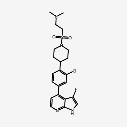 CN(C)CCS(=O)(=O)N1CCC(c2ccc(-c3ccnc4[nH]cc(F)c34)cc2Cl)CC1